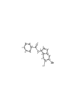 O=C(On1ncc2cc(Br)c(I)cc21)c1ccccc1